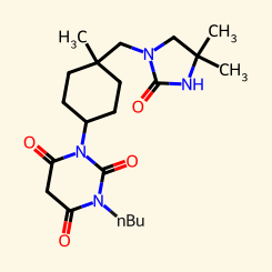 CCCCN1C(=O)CC(=O)N(C2CCC(C)(CN3CC(C)(C)NC3=O)CC2)C1=O